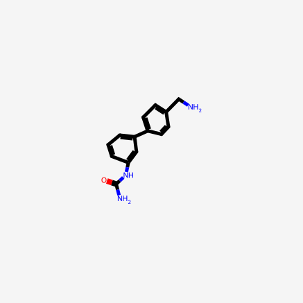 NCc1ccc(-c2cccc(NC(N)=O)c2)cc1